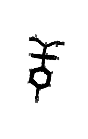 CCCCCCCCN(CCCCCCCC)S(=O)(=O)c1ccc(Cl)cc1